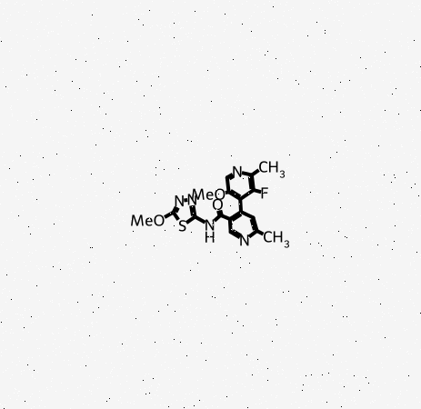 COc1nnc(NC(=O)c2cnc(C)cc2-c2c(OC)cnc(C)c2F)s1